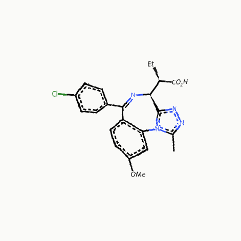 CC[C@@H](C(=O)O)[C@@H]1N=C(c2ccc(Cl)cc2)c2ccc(OC)cc2-n2c(C)nnc21